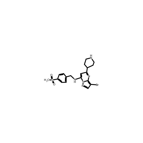 CS(=O)(=O)c1ccc(CNc2cc(C3CCNCC3)nc3c(Br)cnn23)cc1